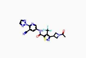 CC(=O)N1CC(c2nsc(C(=O)Nc3cnc(-n4nccn4)c(C#N)c3)c2C(F)(F)F)C1